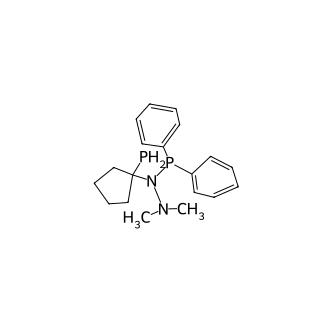 CN(C)N(P(c1ccccc1)c1ccccc1)C1(P)CCCC1